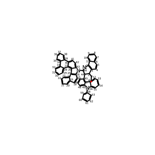 CCC1c2ccc3ccccc3c2N=C(n2c3ccc4ccccc4c3c3c4c5ccccc5c5ccccc5c4ccc32)C1c1cccc2c1c1ccccc1n2-c1ccccc1